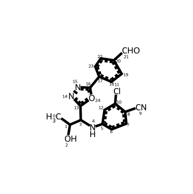 CC(O)C(Nc1ccc(C#N)c(Cl)c1)c1nnc(-c2ccc(C=O)cc2)o1